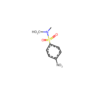 CN(C(=O)O)S(=O)(=O)c1ccc([N+](=O)[O-])cc1